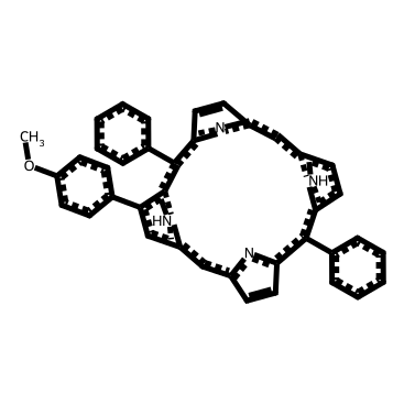 COc1ccc(-c2cc3cc4nc(c(-c5ccccc5)c5ccc(cc6nc(c(-c7ccccc7)c2[nH]3)C=C6)[nH]5)C=C4)cc1